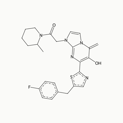 C=C1C(O)=C(c2ncc(Cc3ccc(F)cc3)s2)N=C2N(CC(=O)N3CCCCC3C)C=CN12